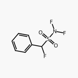 O=S(=O)(C(F)c1ccccc1)N(F)F